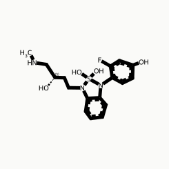 CNC[C@@H](O)CCN1c2ccccc2N(c2ccc(O)cc2F)S1(O)O